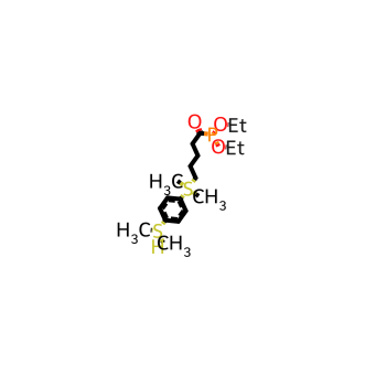 CCOP(OCC)C(=O)CCCCS(C)(C)c1ccc([SH](C)C)cc1